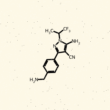 CC(n1nc(-c2ccc(CN)cc2)c(C#N)c1N)C(F)(F)F